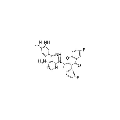 Cc1n[nH]c2cc(C(=N)c3c(N)ncnc3NC(C)c3oc4ccc(F)cc4c(=O)c3-c3cccc(F)c3)ccc12